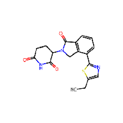 N#CCc1cnc(-c2cccc3c2CN(C2CCC(=O)NC2=O)C3=O)s1